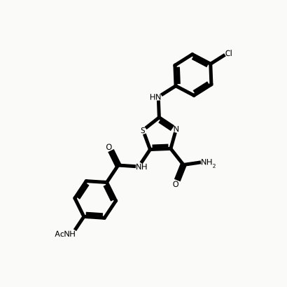 CC(=O)Nc1ccc(C(=O)Nc2sc(Nc3ccc(Cl)cc3)nc2C(N)=O)cc1